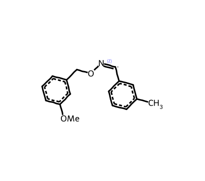 COc1cccc(CO/N=[C]\c2cccc(C)c2)c1